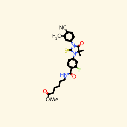 COC(=O)CCCCCNC(=O)c1ccc(N2C(=S)N(c3ccc(C#N)c(C(F)(F)F)c3)C(=O)C2(C)C)cc1F